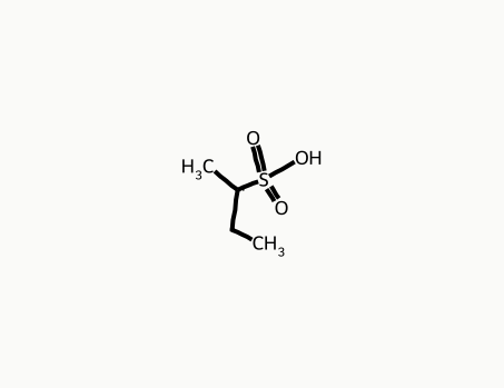 CC[C](C)S(=O)(=O)O